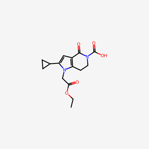 CCOC(=O)Cn1c(C2CC2)cc2c1CCN(C(=O)O)C2=O